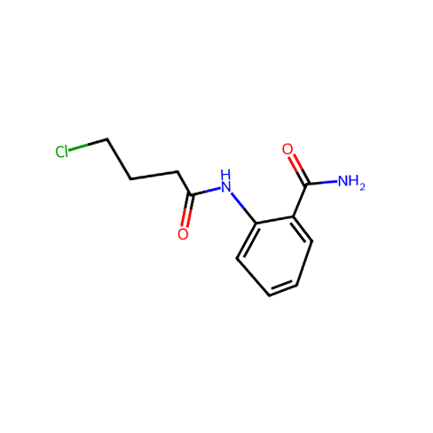 NC(=O)c1ccccc1NC(=O)CCCCl